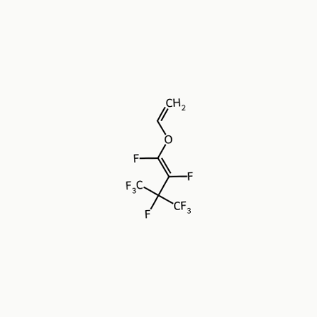 C=COC(F)=C(F)C(F)(C(F)(F)F)C(F)(F)F